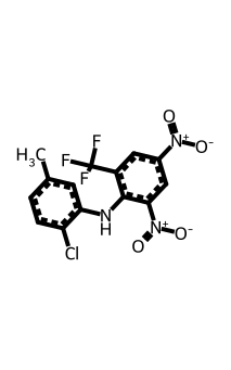 Cc1ccc(Cl)c(Nc2c([N+](=O)[O-])cc([N+](=O)[O-])cc2C(F)(F)F)c1